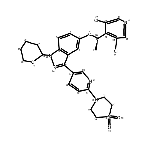 C[C@@H](Oc1ccc2c(c1)c(-c1ccc(N3CCS(=O)(=O)CC3)nc1)nn2C1CCCCO1)c1c(Cl)cncc1Cl